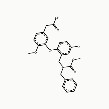 COC(=O)N(Cc1ccccc1)Cc1cc(Br)ccc1Oc1cc(CC(=O)O)ccc1OC